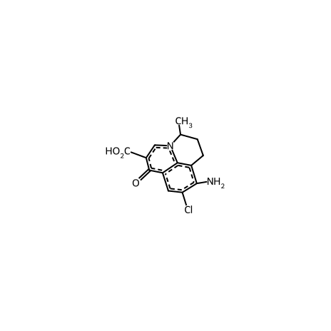 CC1CCc2c(N)c(Cl)cc3c(=O)c(C(=O)O)cn1c23